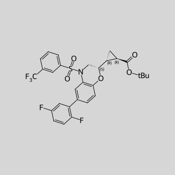 CC(C)(C)OC(=O)[C@@H]1C[C@H]1[C@H]1CN(S(=O)(=O)c2cccc(C(F)(F)F)c2)c2cc(-c3cc(F)ccc3F)ccc2O1